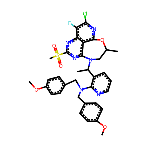 COc1ccc(CN(Cc2ccc(OC)cc2)c2ncccc2C(C)N2CC(C)Oc3nc(Cl)c(F)c4nc(S(C)(=O)=O)nc2c34)cc1